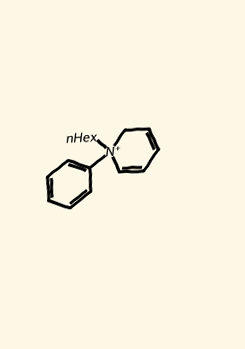 CCCCCC[N+]1(c2ccccc2)C=CC=CC1